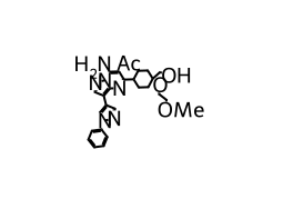 COCCOC1(CO)CCC(c2nc3c(-c4cnn(-c5ccccc5)c4)cnn3c(N)c2C(C)=O)CC1